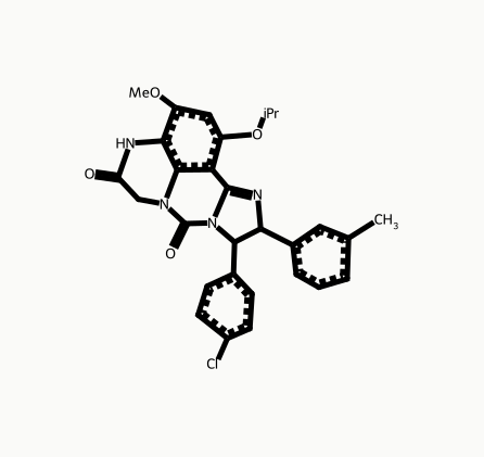 COc1cc(OC(C)C)c2c3c1NC(=O)CN3C(=O)N1C2=NC(c2cccc(C)c2)C1c1ccc(Cl)cc1